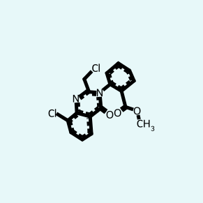 COC(=O)c1ccccc1-n1c(CCl)nc2c(Cl)cccc2c1=O